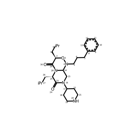 CC(C)C[C@H]1ON(CCCc2ccccc2)C2CN(C3CCNCC3)C(=O)[C@H](CC(C)C)N2C1=O